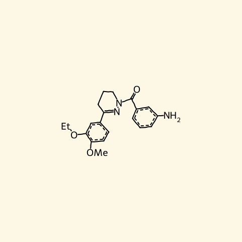 CCOc1cc(C2=NN(C(=O)c3cccc(N)c3)CCC2)ccc1OC